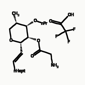 CCCCCCCC=C[C@@H]1OC[C@H](C)[C@H](OCCC)[C@@H]1OC(=O)CN.O=C(O)C(F)(F)F